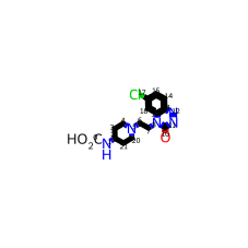 O=C(O)NC1CCN(CCn2c(=O)nnc3ccc(Cl)cc32)CC1